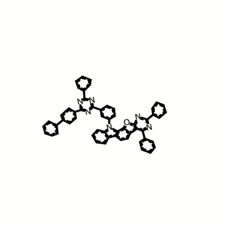 c1ccc(-c2ccc(-c3nc(-c4ccccc4)nc(-c4cccc(-n5c6ccccc6c6ccc7c(oc8nc(-c9ccccc9)nc(-c9ccccc9)c87)c65)c4)n3)cc2)cc1